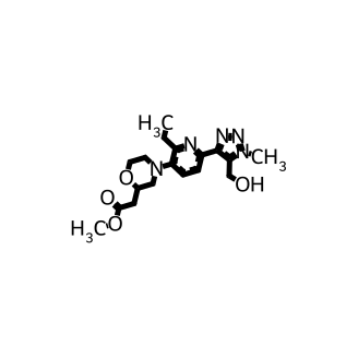 CCc1nc(-c2nnn(C)c2CO)ccc1N1CCOC(CC(=O)OC)C1